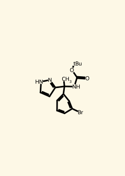 CC(C)(C)OC(=O)NC(C)(c1cccc(Br)c1)c1cc[nH]n1